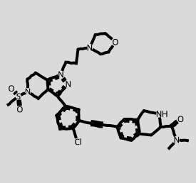 CN(C)C(=O)C1Cc2ccc(C#Cc3cc(-c4nn(CCCN5CCOCC5)c5c4CN(S(C)(=O)=O)CC5)ccc3Cl)cc2CN1